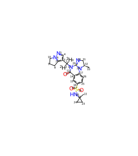 [2H]C([2H])(c1cnn2c1CCC2)N1C(=O)c2cc(S(=O)(=O)NC3(C)CC3)ccc2N2C1=NC[C@H]2C